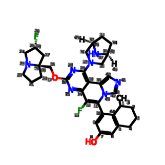 CC1CCCc2cc(O)cc(-c3c(F)c4nc(OC[C@@]56CCCN5C[C@H](F)C6)nc(N5C[C@H]6CC[C@@H](C5)N6)c4c4cncn34)c21